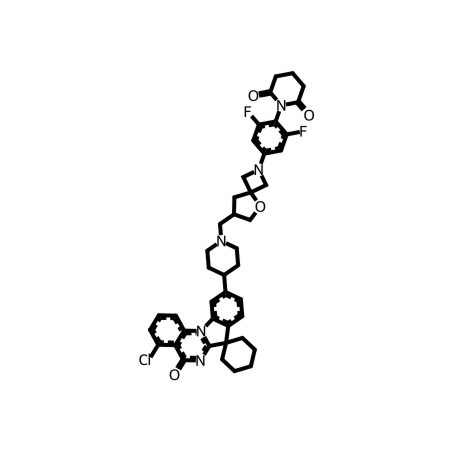 O=C1CCCC(=O)N1c1c(F)cc(N2CC3(CC(CN4CCC(c5ccc6c(c5)-n5c(nc(=O)c7c(Cl)cccc75)C65CCCCC5)CC4)CO3)C2)cc1F